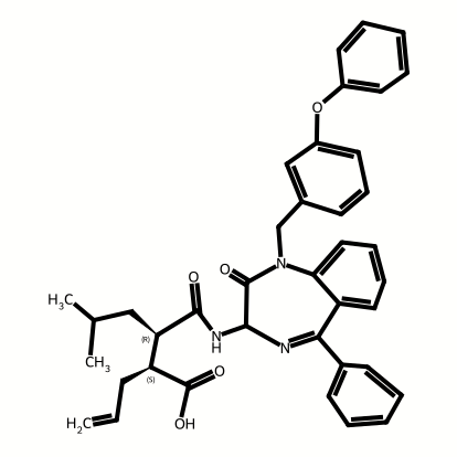 C=CC[C@H](C(=O)O)[C@@H](CC(C)C)C(=O)NC1N=C(c2ccccc2)c2ccccc2N(Cc2cccc(Oc3ccccc3)c2)C1=O